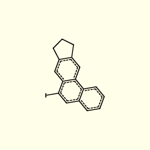 Ic1cc2ccccc2c2cc3c(cc12)CCC3